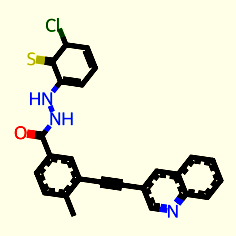 Cc1ccc(C(=O)NNC2=CC=CC(Cl)C2=S)cc1C#Cc1cnc2ccccc2c1